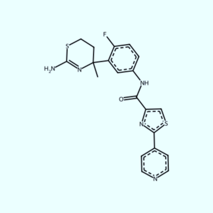 CC1(c2cc(NC(=O)c3csc(-c4ccncc4)n3)ccc2F)CCSC(N)=N1